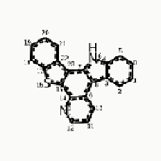 c1ccc2c(c1)[nH]c1c2c2cccnc2c2sc3ccccc3c12